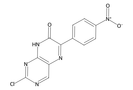 O=c1[nH]c2nc(Cl)ncc2nc1-c1ccc([N+](=O)[O-])cc1